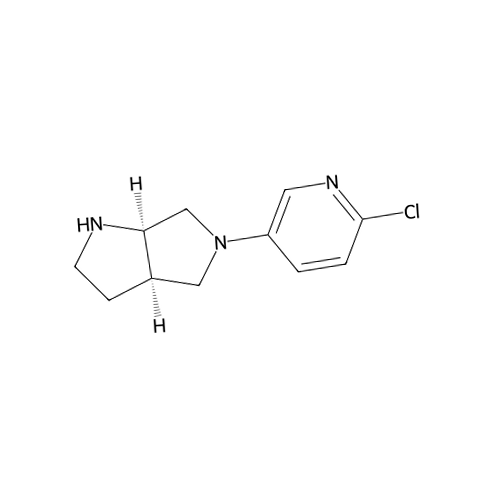 Clc1ccc(N2C[C@H]3CCN[C@H]3C2)cn1